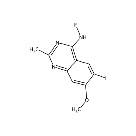 COc1cc2nc(C)nc(NF)c2cc1I